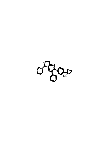 NC1(c2ccc(-c3nc4ccnc(N5CCCCC5)c4cc3-c3ccccc3)cc2)CCC1